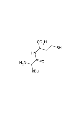 CCCCC(N)C(=O)NC(CCS)C(=O)O